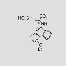 CCOc1ccccc1-c1ccccc1C(=O)N[C@@H](CCS(=O)(=O)O)C(=O)O